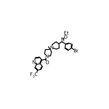 CCO/N=C(\c1ccc(Br)cc1)C1CCN(C2(C)CCN(C(=O)c3ccnc4cc(C(F)(F)F)ccc34)CC2)CC1